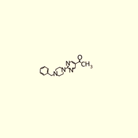 CC(=O)c1cnc(N2CCN(Cc3ccccc3)CC2)nc1